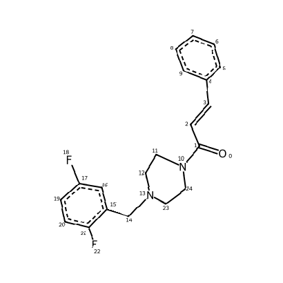 O=C(C=Cc1ccccc1)N1CCN(Cc2cc(F)ccc2F)CC1